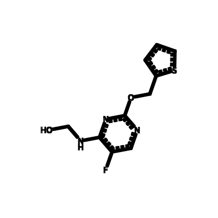 OCNc1nc(OCc2cccs2)ncc1F